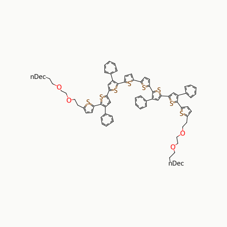 CCCCCCCCCCCCOCCOCCc1ccc(-c2sc(-c3cc(-c4ccccc4)c(-c4ccc(-c5ccc(-c6sc(-c7cc(-c8ccccc8)c(-c8ccc(CCOCCOCCCCCCCCCCCC)s8)s7)cc6-c6ccccc6)s5)s4)s3)cc2-c2ccccc2)s1